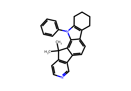 CC1(C)c2ccncc2-c2ccc3c4c(n(-c5ccccc5)c3c21)CCCC4